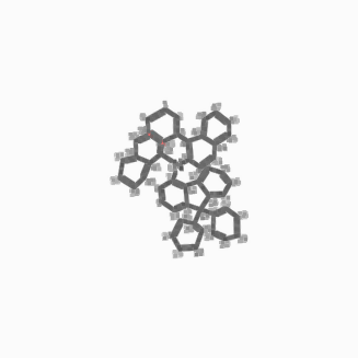 c1ccc(-c2c(N(c3cccc4c3-c3ccccc3C4(c3ccccc3)c3ccccc3)c3cccc4ccccc34)ccc3ccccc23)cc1